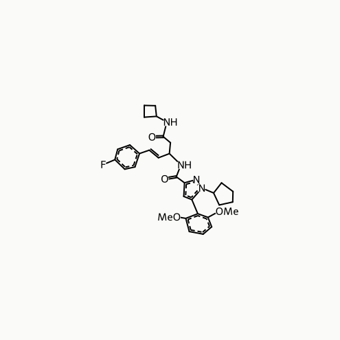 COc1cccc(OC)c1-c1cc(C(=O)NC(/C=C/c2ccc(F)cc2)CC(=O)NC2CCC2)nn1C1CCCC1